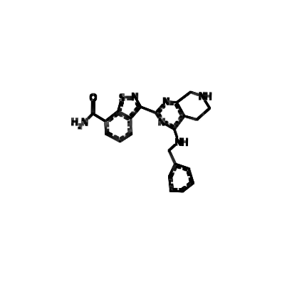 NC(=O)c1cccc2c(-c3nc4c(c(NCc5ccccc5)n3)CCNC4)nsc12